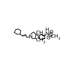 CC1CN(C/C=C/C2CCCCC2)CCC1(C)c1cccc(NS(C)(=O)=O)c1